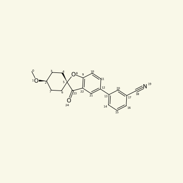 CO[C@H]1CC[C@@]2(CC1)Oc1ccc(-c3cccc(C#N)c3)cc1C2=O